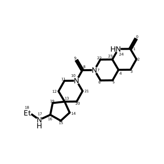 C=C1CCC2CCN(C(=C)N3CCC4(CCC(NCC)C4)CC3)CC2N1